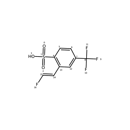 O=S(=O)(O)c1ccc(C(F)(F)F)cc1C=CF